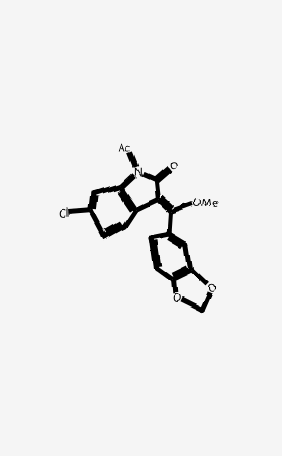 COC(=C1C(=O)N(C(C)=O)c2cc(Cl)ccc21)c1ccc2c(c1)OCO2